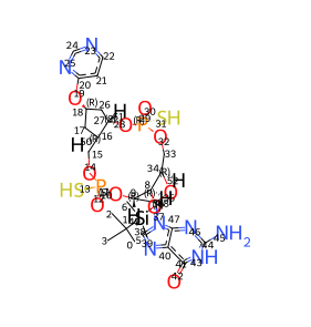 CC(C)(C)[Si](C)(C)O[C@H]1[C@H]2O[P@@](=O)(S)OC[C@H]3C[C@@H](Oc4ccncn4)C[C@@H]3O[P@](=O)(S)OC[C@H]1O[C@H]2n1cnc2c(=O)[nH]c(N)nc21